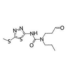 CCCN(CCC=O)C(=O)Nc1nnc(SC)s1